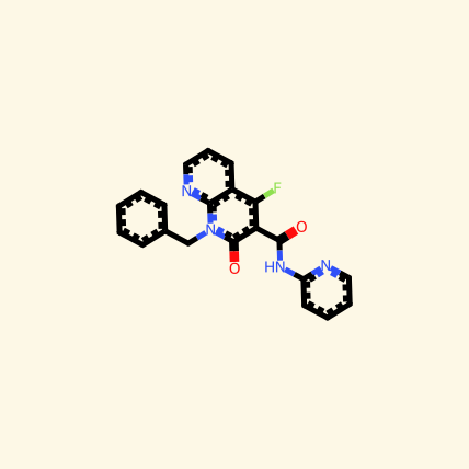 O=C(Nc1ccccn1)c1c(F)c2cccnc2n(Cc2ccccc2)c1=O